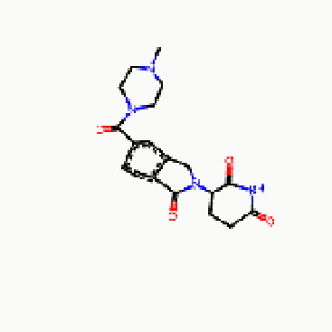 CN1CCN(C(=O)c2ccc3c(c2)CN(C2CCC(=O)NC2=O)C3=O)CC1